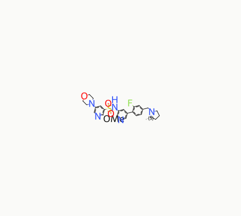 COc1ncc(N2CCOCC2)cc1S(=O)(=O)Nc1cncc(-c2ccc(CN3CCC[C@@H]3C)cc2F)c1